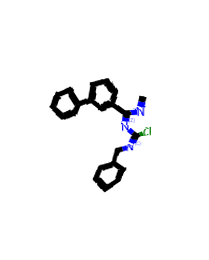 C=N/C(=N\C(Cl)=N/Cc1ccccc1)c1cccc(-c2ccccc2)c1